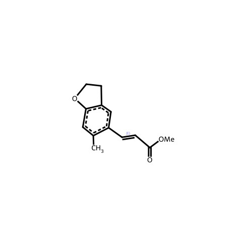 COC(=O)/C=C/c1cc2c(cc1C)OCC2